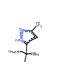 CCCCCCC(C)(CCCC)c1cc(C(F)(F)F)n[nH]1